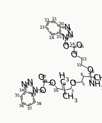 CC(C)(COCCC(C)(N)OCCOC(=O)On1nnc2ccccc21)COC(=O)On1nnc2ccccc21